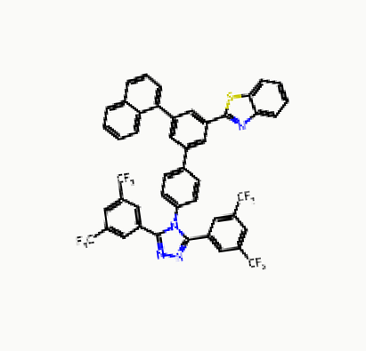 FC(F)(F)c1cc(-c2nnc(-c3cc(C(F)(F)F)cc(C(F)(F)F)c3)n2-c2ccc(-c3cc(-c4nc5ccccc5s4)cc(-c4cccc5ccccc45)c3)cc2)cc(C(F)(F)F)c1